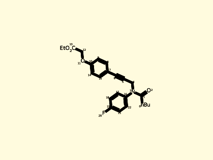 CCCCC(=O)N(CC#Cc1ccc(OCC(=O)OCC)cc1)c1ccc(F)cc1